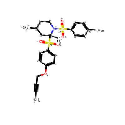 CC#CCOc1ccc(S(=O)(=O)C2(C)CC(C(=O)O)CCN2S(=O)(=O)c2ccc(OC)cc2)cc1